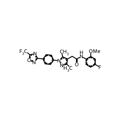 COc1cc(F)ccc1NC(=O)Cc1c(C)nn(-c2ccc(-c3noc(C(F)(F)F)n3)cc2)c1C